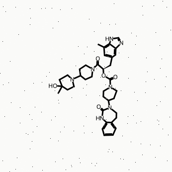 Cc1cc(C[C@@H](OC(=O)N2CCC(N3CCc4ccccc4NC3=O)CC2)C(=O)N2CCC(N3CCC(C)(O)CC3)CC2)cc2nc[nH]c12